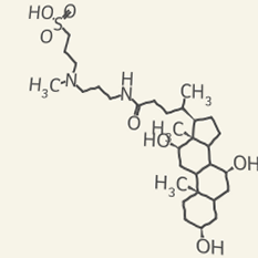 CC(CCC(=O)NCCCN(C)CCCS(=O)(=O)O)[C@H]1CCC2C3C(C[C@@H](O)[C@@]21C)[C@@]1(C)CC[C@H](O)CC1C[C@@H]3O